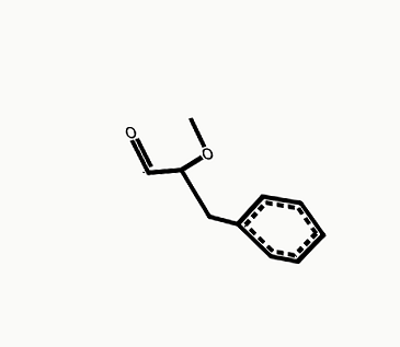 COC([C]=O)Cc1ccccc1